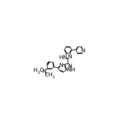 CN(C)c1c#ccc(-c2ccc3[nH]nc(-c4nc5c(-c6ccncc6)cccc5[nH]4)c3n2)c1